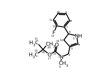 CN(CC1=CNC(c2ccccc2F)C1)C(=O)OC(C)(C)C